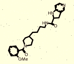 COc1ccccc1C(=O)N1CCC(CCCCNC(=O)C2Cc3cnccc3N2)CC1